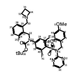 COc1ccc(CN(c2ncccn2)S(=O)(=O)c2c(F)cc(N(Cc3c(F)cccc3CN3CCC3)C(=O)OC(C)(C)C)cc2F)c(OC)c1